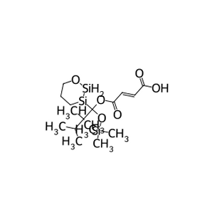 CC(C)C(C)(C)C(OC(=O)C=CC(=O)O)(O[Si](C)(C)C)[SiH]1CCCO[SiH2]1